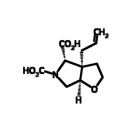 C=CC[C@]12CCO[C@H]1CN(C(=O)O)[C@@H]2C(=O)O